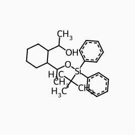 CC(O)C1CCCCC1C(C)O[Si](c1ccccc1)(c1ccccc1)C(C)(C)C